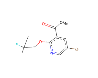 COC(=O)c1cc(Br)cnc1OCC(C)(C)F